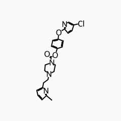 Cc1cccc(CCN2CCN(C(=O)Oc3ccc(Oc4ccc(Cl)cn4)cc3)CC2)n1